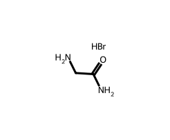 Br.NCC(N)=O